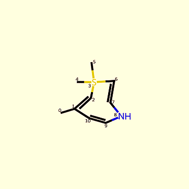 CC1=C\S(C)(C)/C=C/N/C=C\1